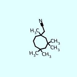 CC1(C)CCCC(C)(CC#N)CC(C)(C)C1